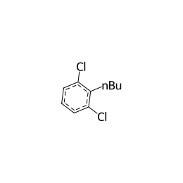 C[CH]CCc1c(Cl)cccc1Cl